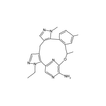 CCn1ncc2c1-c1cnc(N)c(n1)OC(C)c1cc(C)ccc1-c1c(cnn1C)C2